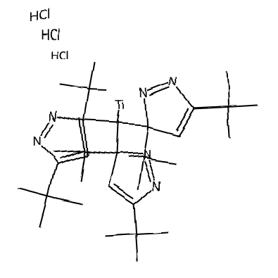 CC(C)(C)C1=CC(C(C)(C)C)([C]([Ti])(C2(C(C)(C)C)C=C(C(C)(C)C)N=N2)C2(C(C)(C)C)C=C(C(C)(C)C)N=N2)N=N1.Cl.Cl.Cl